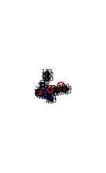 c1ccc(-c2ccc(-c3ccc4ccccc4c3)cc2N(c2ccc(-c3ccc4c(c3)oc3ccccc34)cc2)c2ccccc2-n2c3ccccc3c3ccccc32)cc1